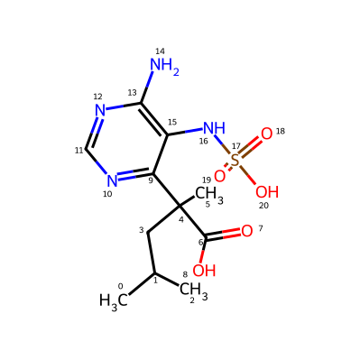 CC(C)CC(C)(C(=O)O)c1ncnc(N)c1NS(=O)(=O)O